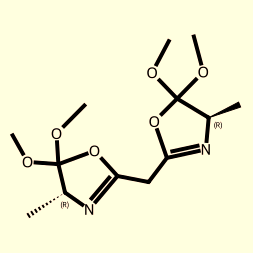 COC1(OC)OC(CC2=N[C@H](C)C(OC)(OC)O2)=N[C@@H]1C